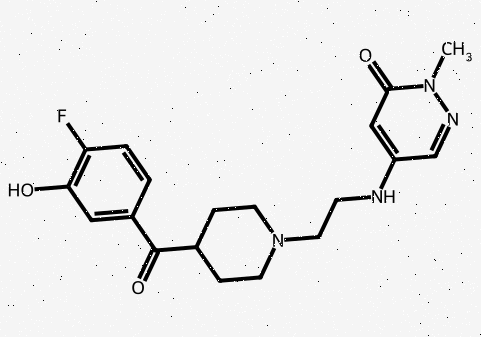 Cn1ncc(NCCN2CCC(C(=O)c3ccc(F)c(O)c3)CC2)cc1=O